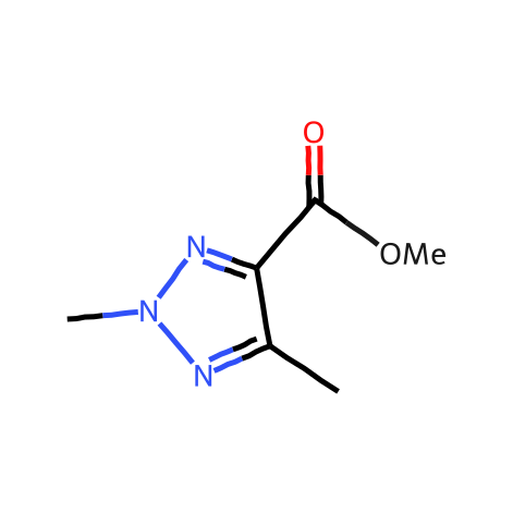 COC(=O)c1nn(C)nc1C